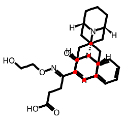 O=C(O)CC/C(=N\OCCO)c1nc2ccccc2n([C@H]2C[C@H]3CCC[C@@H](C2)N3C2C[C@H]3CCC[C@@H](C2)C3)c1=O